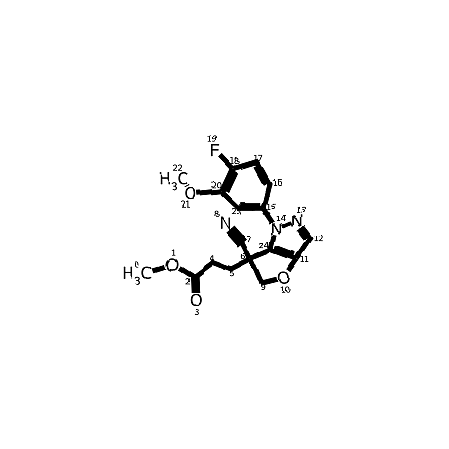 COC(=O)CCC1(C#N)COc2cnn(-c3ccc(F)c(OC)c3)c21